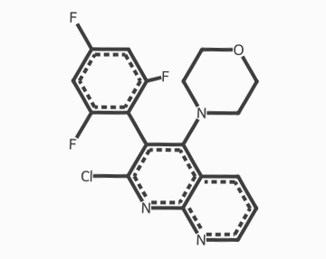 Fc1cc(F)c(-c2c(Cl)nc3ncccc3c2N2CCOCC2)c(F)c1